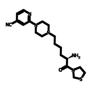 N#Cc1ccnc(N2CCN(CCCC[C@H](N)C(=O)N3CCSC3)CC2)c1